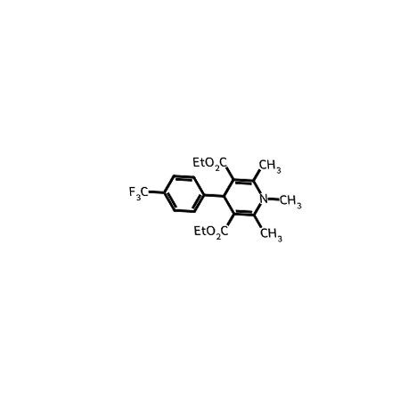 CCOC(=O)C1=C(C)N(C)C(C)=C(C(=O)OCC)C1c1ccc(C(F)(F)F)cc1